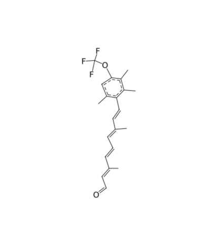 CC(/C=C/C=C(C)/C=C/c1c(C)cc(OC(F)(F)F)c(C)c1C)=C\C=O